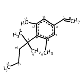 C=Cc1cc(C)c(C(C)(C)CCC)c(O)c1